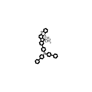 CC1(C)c2cc(-c3ccc(N(c4ccc(-c5ccccc5)cc4)c4ccc(-c5ccccc5)cc4)cc3)ccc2-c2ccc3c(c21)Sc1ccccc1S3